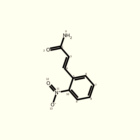 NC(=O)/C=C/c1ccccc1[N+](=O)[O-]